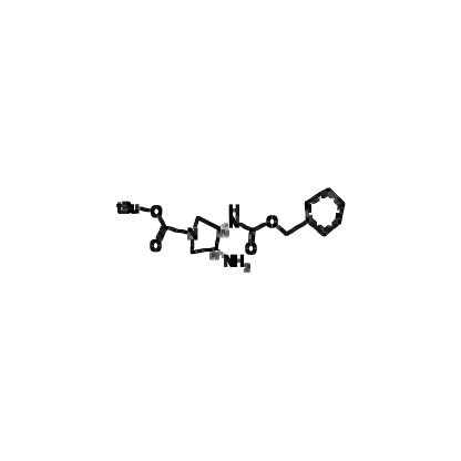 CC(C)(C)OC(=O)N1C[C@@H](N)[C@@H](NC(=O)OCc2ccccc2)C1